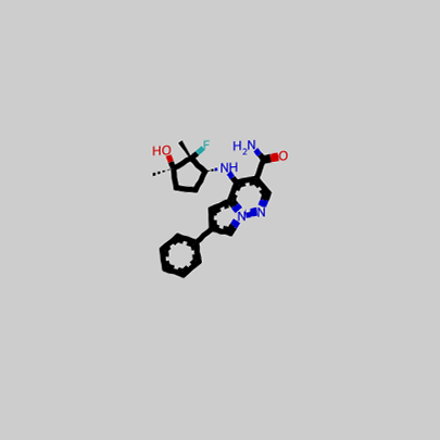 C[C@@]1(O)CC[C@@H](Nc2c(C(N)=O)cnn3cc(-c4ccccc4)cc23)[C@@]1(C)F